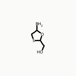 BC1CSC(CO)O1